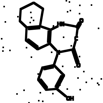 O=C1CC(=O)N(c2cccc(O)c2)c2ccc3c(c2N1)CCCC3